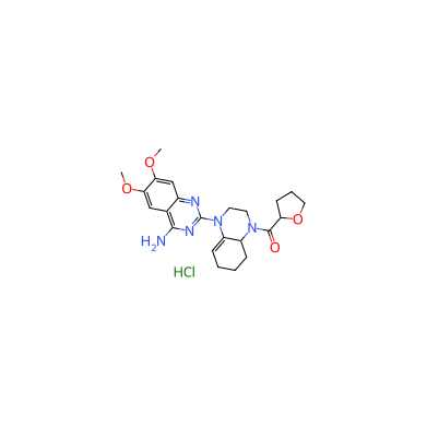 COc1cc2nc(N3CCN(C(=O)C4CCCO4)C4CCCC=C43)nc(N)c2cc1OC.Cl